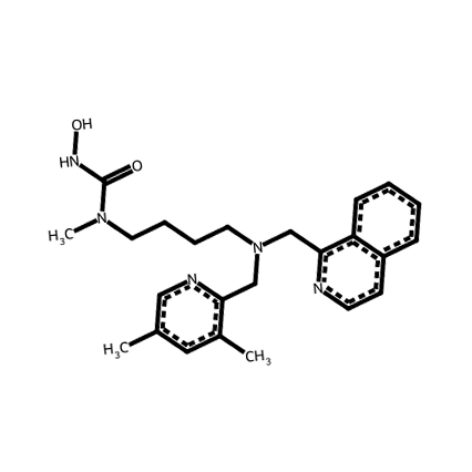 Cc1cnc(CN(CCCCN(C)C(=O)NO)Cc2nccc3ccccc23)c(C)c1